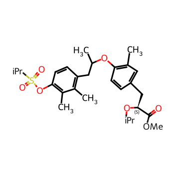 COC(=O)[C@H](Cc1ccc(OC(C)Cc2ccc(OS(=O)(=O)C(C)C)c(C)c2C)c(C)c1)OC(C)C